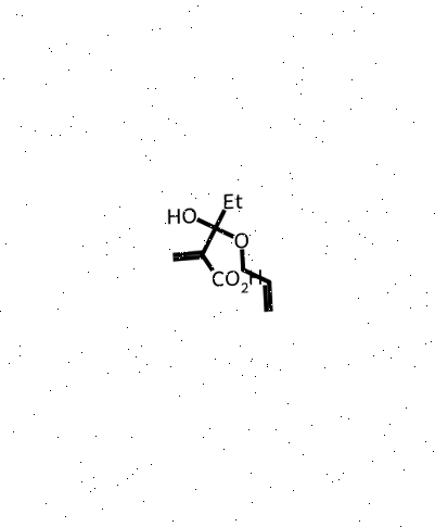 C=CCOC(O)(CC)C(=C)C(=O)O